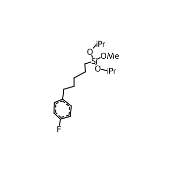 CO[Si](CCCCCc1ccc(F)cc1)(OC(C)C)OC(C)C